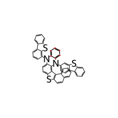 c1ccc(N(c2ccc3sc4ccc5ccccc5c4c3c2N(c2ccccc2)c2ccc3c(c2)sc2ccccc23)c2cccc3c2sc2ccccc23)cc1